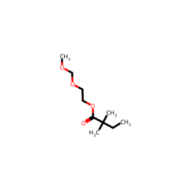 CCC(C)(C)C(=O)OCCOCOC